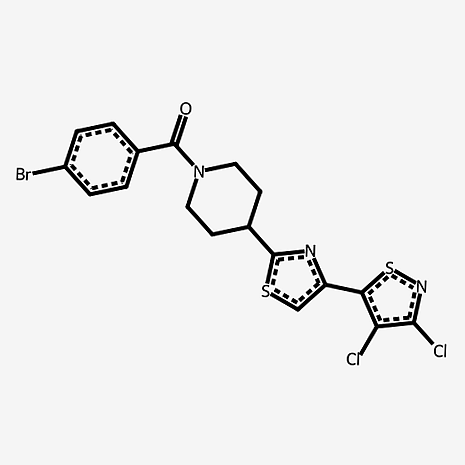 O=C(c1ccc(Br)cc1)N1CCC(c2nc(-c3snc(Cl)c3Cl)cs2)CC1